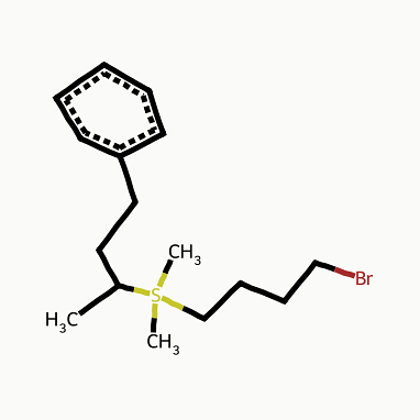 CC(CCc1ccccc1)S(C)(C)CCCCBr